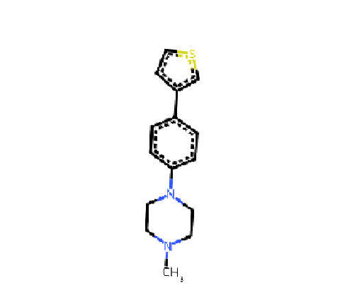 CN1CCN(c2ccc(-c3ccsc3)cc2)CC1